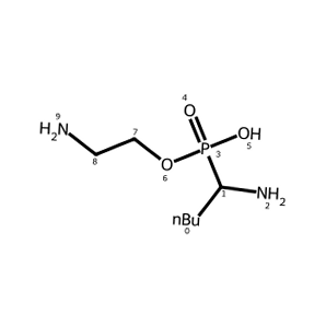 CCCCC(N)P(=O)(O)OCCN